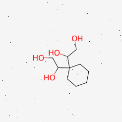 OCC(O)C1(C(O)CO)CCCCC1